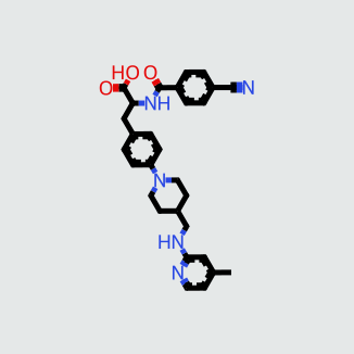 Cc1ccnc(NCC2CCN(c3ccc(CC(NC(=O)c4ccc(C#N)cc4)C(=O)O)cc3)CC2)c1